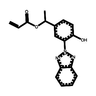 C=CC(=O)OC(C)c1ccc(O)c(-n2nc3ccccc3n2)c1